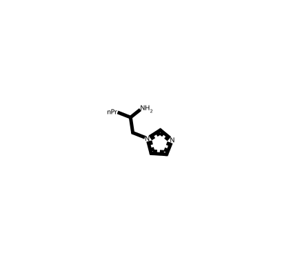 CCCC(N)Cn1ccnc1